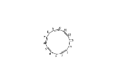 [CH]1C=CCC=CC=CCC=CC=CC1